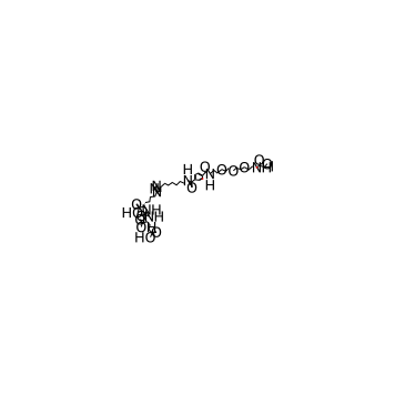 O=C(O)CC[C@H](NC(=O)N[C@@H](CCCCn1cc(CCCCCCNC(=O)c2ccc(C(=O)NCCOCCOCCOCCNC(=O)COI)cc2)nn1)C(=O)O)C(=O)O